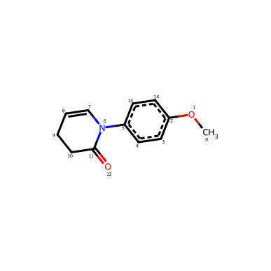 COc1ccc(N2C=CCCC2=O)cc1